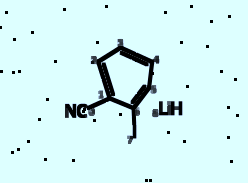 N#Cc1ccccc1I.[LiH]